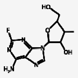 CC1C(CO)OC(n2cnc3c(N)nc(F)nc32)C1O